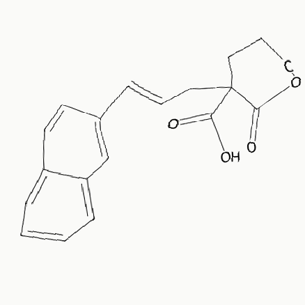 O=C(O)C1(CC=Cc2ccc3ccccc3c2)CCCOC1=O